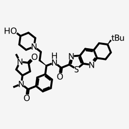 CN1CC(N(C)C(=O)c2cccc([C@@H](CCN3CCC(O)CC3)NC(=O)c3nc4cc5c(nc4s3)CC[C@H](C(C)(C)C)C5)c2)CC1=O